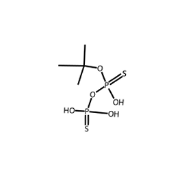 CC(C)(C)OP(O)(=S)OP(O)(O)=S